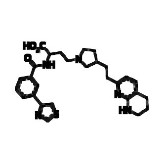 O=C(NC(CCN1CCC(CCc2ccc3c(n2)NCCC3)C1)C(=O)O)c1cccc(-c2cscn2)c1